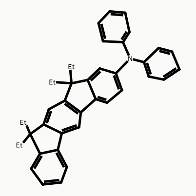 CCC1(CC)c2ccccc2-c2cc3c(cc21)C(CC)(CC)c1cc(N(c2ccccc2)c2ccccc2)ccc1-3